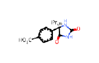 CC(C)[C@]1(c2ccc(C(=O)O)cc2)NC(=O)NC1=O